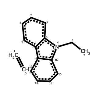 C=C.CCn1c2ccccc2c2ccccc21